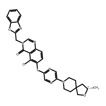 C[C@H]1CC2(CCN(c3cnc(Sc4ccc5ncn(Cc6nc7ccccc7o6)c(=O)c5c4Cl)cn3)CC2)CO1